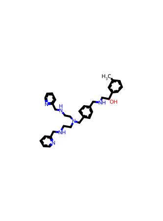 Cc1cccc(C(O)CNCc2ccc(CN(CCNCc3ccccn3)CCNCc3ccccn3)cc2)c1